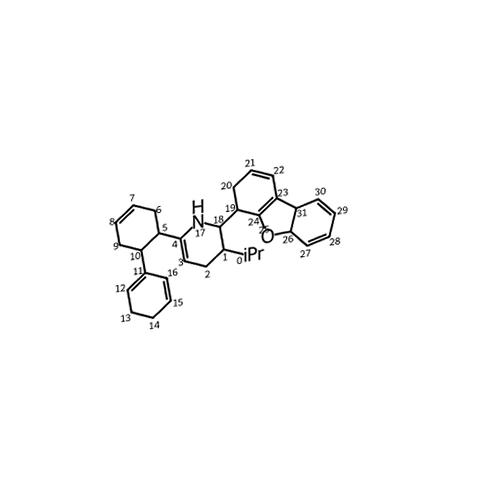 CC(C)C1CC=C(C2CC=CCC2C2=CCCC=C2)NC1C1CC=CC2=C1OC1C=CC=CC21